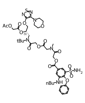 CCCCNc1cc(C(=O)OCC(=O)N(C)CC(=O)OCC(=O)N(C[C@@H](COc2nsnc2N2CCOCC2)OC(=O)COC(C)=O)C(C)(C)C)cc(S(N)(=O)=O)c1Oc1ccccc1